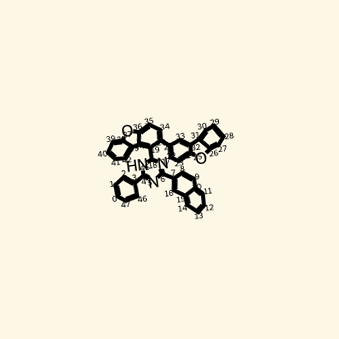 c1ccc(C2=NC(c3ccc4ccccc4c3)=NC(c3c(-c4ccc5oc6ccccc6c5c4)ccc4oc5ccccc5c34)N2)cc1